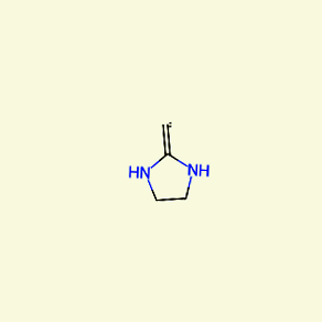 [C]=C1NCCN1